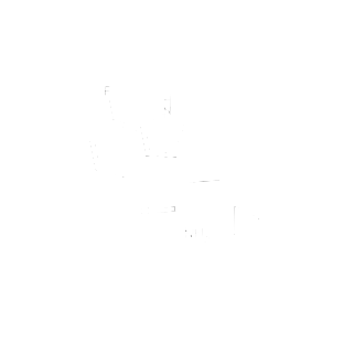 NC(=O)C(CC1CC1)c1c[nH]c2c(F)cccc12